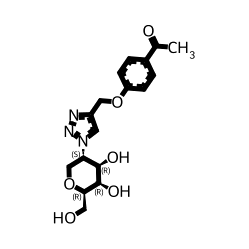 CC(=O)c1ccc(OCc2cn([C@H]3CO[C@H](CO)[C@H](O)[C@@H]3O)nn2)cc1